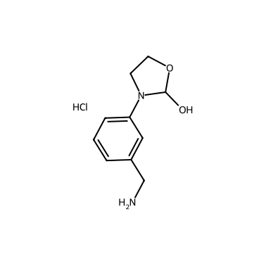 Cl.NCc1cccc(N2CCOC2O)c1